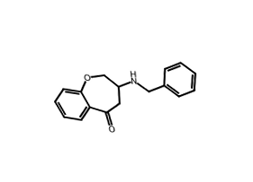 O=C1CC(NCc2ccccc2)COc2ccccc21